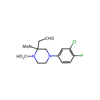 CNC1(CC=O)CN(c2ccc(F)c(Cl)c2)CCN1C(=O)O